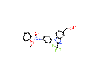 COc1ccccc1C(=O)Nc1ccc(-n2c(C(F)(F)F)nc3cc(CO)ccc32)cc1